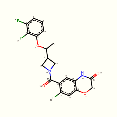 CC(Oc1cccc(F)c1F)C1CN(C(=O)c2cc3c(cc2F)OCC(=O)N3)C1